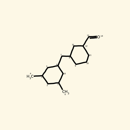 CC1CC(C)CC(CC2CCCC(C=O)C2)C1